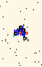 O=C(NCCC(F)(F)F)c1ccc2c(n1)N(C(=O)Nc1ccc(F)cn1)[C@H]1CCN2C1